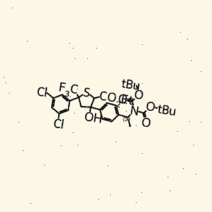 CCOC(=O)C1SC(c2cc(Cl)cc(Cl)c2)(C(F)(F)F)CC1(O)c1ccc([C@H](C)N(C(=O)OC(C)(C)C)C(=O)OC(C)(C)C)cc1